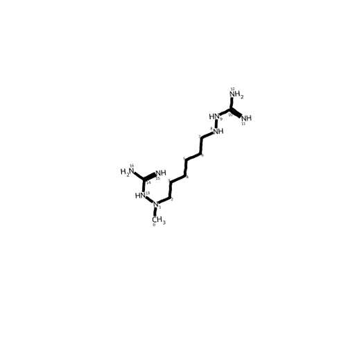 CN(CCCCCCNNC(=N)N)NC(=N)N